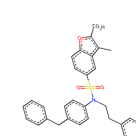 Cc1c(C(=O)O)oc2ccc(S(=O)(=O)N(CCc3ccccc3)c3ccc(Cc4ccccc4)cc3)cc12